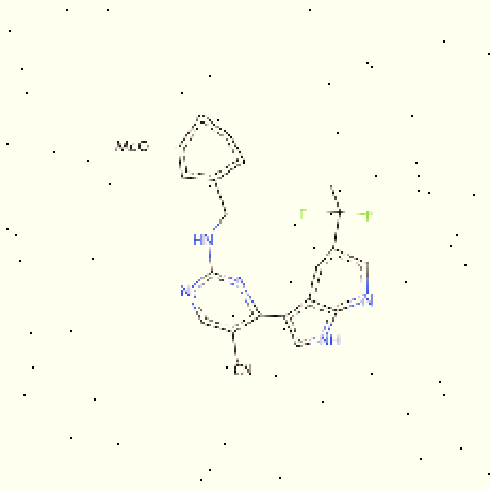 COc1cccc(CNc2ncc(C#N)c(-c3c[nH]c4ncc(C(C)(F)F)cc34)n2)c1